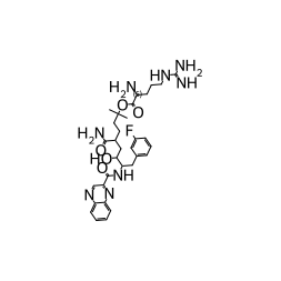 CC(C)(CCC(CC(O)C(Cc1cccc(F)c1)NC(=O)c1cnc2ccccc2n1)C(N)=O)OC(=O)[C@@H](N)CCCNC(=N)N